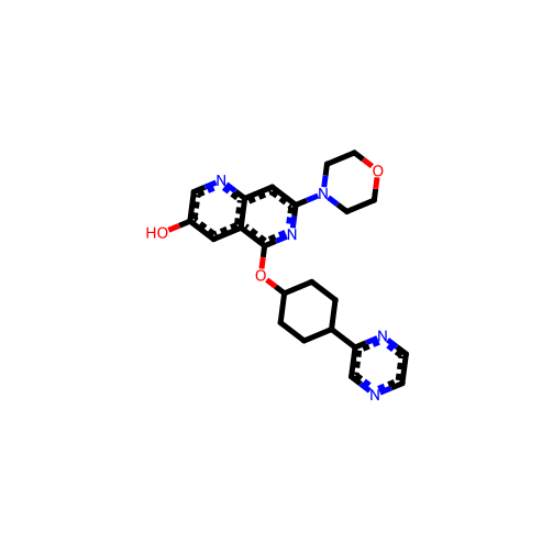 Oc1cnc2cc(N3CCOCC3)nc(OC3CCC(c4cnccn4)CC3)c2c1